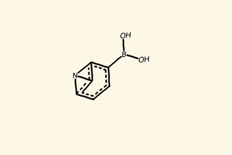 OB(O)c1ccc2c3c1N23